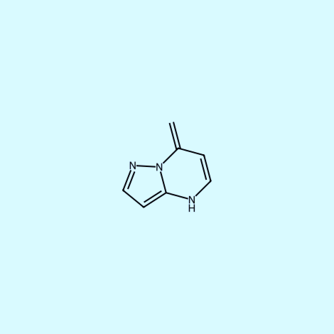 C=C1C=CNc2ccnn21